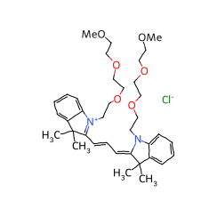 COCCOCCOCCN1C(=CC=CC2=[N+](CCOCCOCCOC)c3ccccc3C2(C)C)C(C)(C)c2ccccc21.[Cl-]